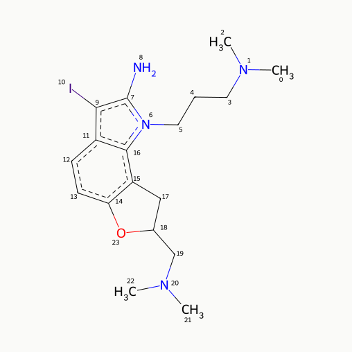 CN(C)CCCn1c(N)c(I)c2ccc3c(c21)CC(CN(C)C)O3